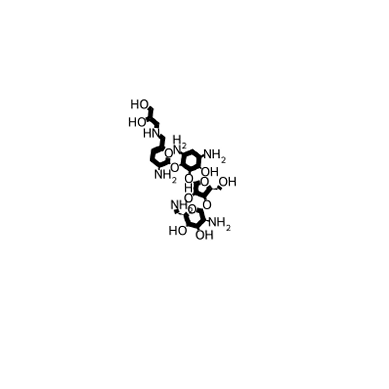 NC[C@@H]1O[C@H](O[C@H]2[C@@H](O)[C@H](O[C@@H]3[C@@H](O)[C@H](N)C[C@H](N)[C@H]3O[C@H]3OC(CNCC(O)CO)=CC[C@H]3N)O[C@@H]2CO)[C@H](N)[C@@H](O)[C@@H]1O